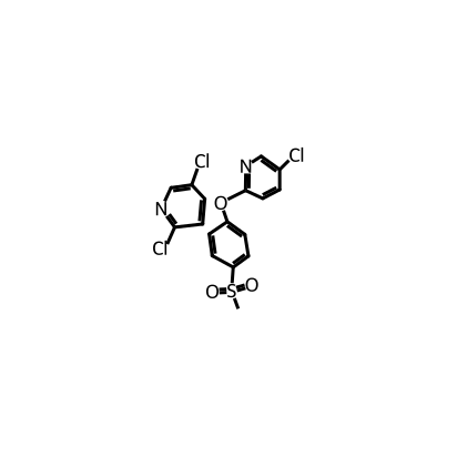 CS(=O)(=O)c1ccc(Oc2ccc(Cl)cn2)cc1.Clc1ccc(Cl)nc1